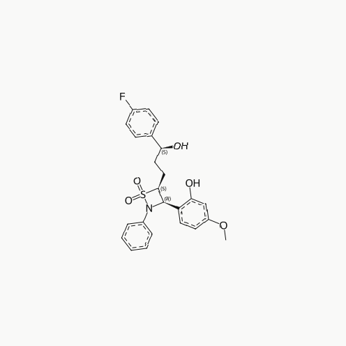 COc1ccc([C@@H]2[C@H](CC[C@H](O)c3ccc(F)cc3)S(=O)(=O)N2c2ccccc2)c(O)c1